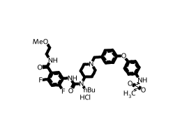 CCCCN(C(=O)Nc1cc(C(=O)NCCOC)c(F)cc1F)C1CCN(Cc2ccc(Oc3ccc(NS(C)(=O)=O)cc3)cc2)CC1.Cl